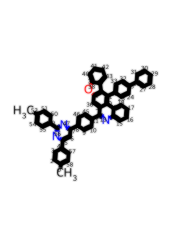 Cc1ccc(-c2cc(-c3ccc(-c4nc5ccccc5c5c(-c6ccc(-c7ccccc7)cc6)c6c(cc45)oc4ccccc46)cc3)nc(-c3ccc(C)cc3)n2)cc1